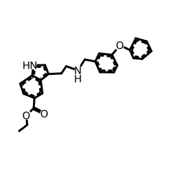 CCOC(=O)c1ccc2[nH]cc(CCNCc3cccc(Oc4ccccc4)c3)c2c1